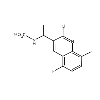 Cc1ccc(F)c2cc(C(C)NC(=O)O)c(Cl)nc12